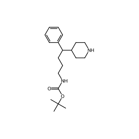 CC(C)(C)OC(=O)NCCCC(c1ccccc1)C1CCNCC1